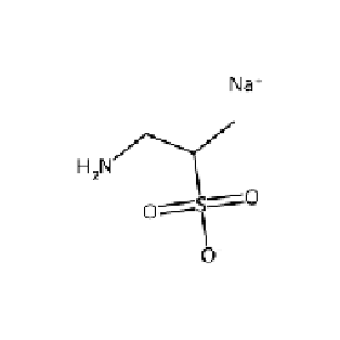 CC(CN)S(=O)(=O)[O-].[Na+]